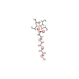 CCCP(CCC)(CCC)(CCC)OC(=O)CCOCCOCCOC